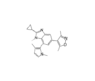 Cc1ccn(C)c1-c1cc(-c2c(C)noc2C)cc2nc(C3CC3)n(C)c12